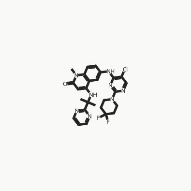 Cn1c(=O)cc(NC(C)(C)c2ncccn2)c2cc(Nc3nc(N4CCC(F)(F)CC4)ncc3Cl)ccc21